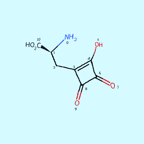 N[C@@H](Cc1c(O)c(=O)c1=O)C(=O)O